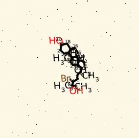 C[C@H](CCC(Br)C(C)(C)O)[C@H]1CC[C@H]2[C@@H]3CC=C4C[C@@H](O)CC[C@]4(C)[C@H]3CC[C@]12C